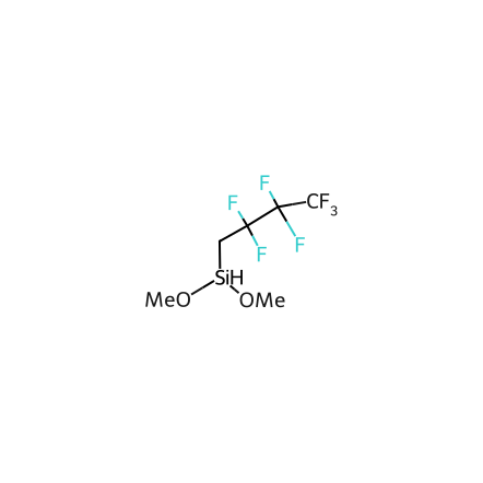 CO[SiH](CC(F)(F)C(F)(F)C(F)(F)F)OC